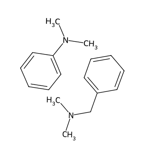 CN(C)Cc1ccccc1.CN(C)c1ccccc1